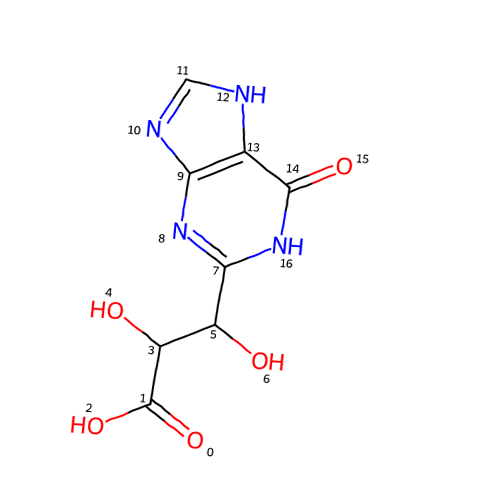 O=C(O)C(O)C(O)c1nc2nc[nH]c2c(=O)[nH]1